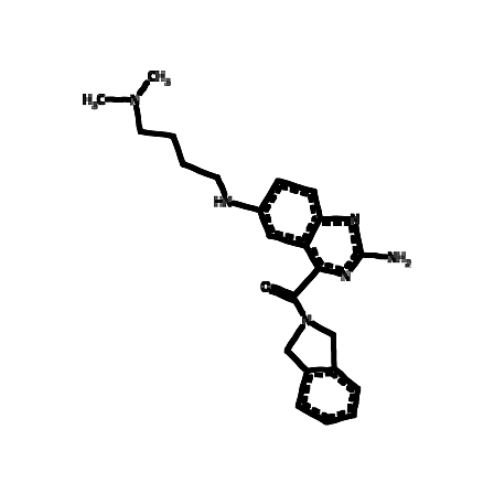 CN(C)CCCCNc1ccc2nc(N)nc(C(=O)N3Cc4ccccc4C3)c2c1